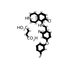 Fc1cccc(Oc2ccc(CNc3c(Cl)ccc4c3CCNCC4)c(F)c2)c1.O=C(O)CCC(=O)O